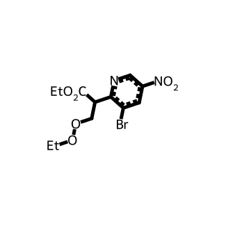 CCOOCC(C(=O)OCC)c1ncc([N+](=O)[O-])cc1Br